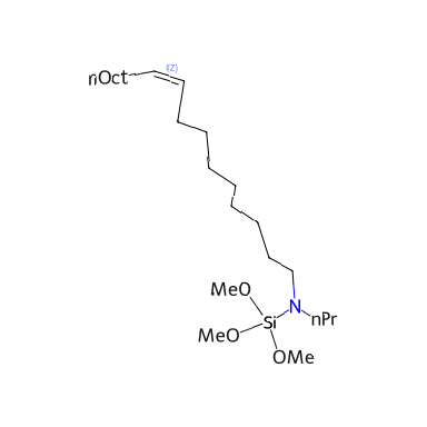 CCCCCCCC/C=C\CCCCCCCCN(CCC)[Si](OC)(OC)OC